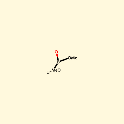 COB([O-])OC.[Li+]